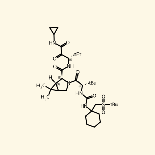 CCC[C@H](NC(=O)[C@@H]1[C@@H]2C(CN1C(=O)[C@@H](NC(=O)NC1(CS(=O)(=O)C(C)(C)C)CCCCC1)C(C)(C)C)C2(C)C)C(=O)C(=O)NC1CC1